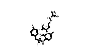 Cc1ccc(NS(=O)(=O)Cc2ccc(F)cc2)c(=O)n1C(CCONC(=N)N)C(N)=O